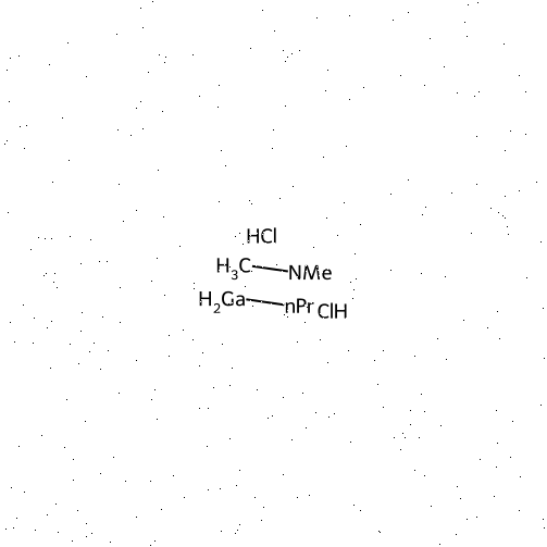 CC[CH2][GaH2].CNC.Cl.Cl